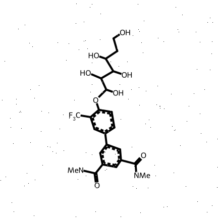 CNC(=O)c1cc(C(=O)NC)cc(-c2ccc(OC(O)C(O)C(O)C(O)CCO)c(C(F)(F)F)c2)c1